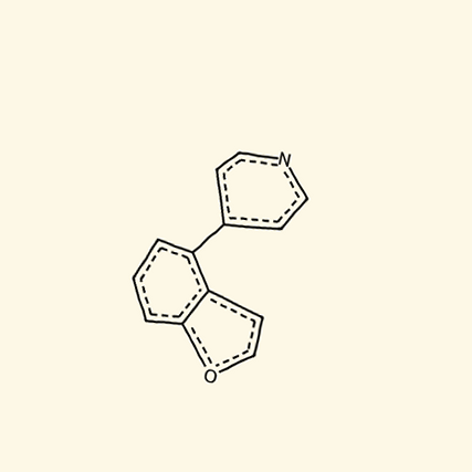 c1cc(-c2ccncc2)c2ccoc2c1